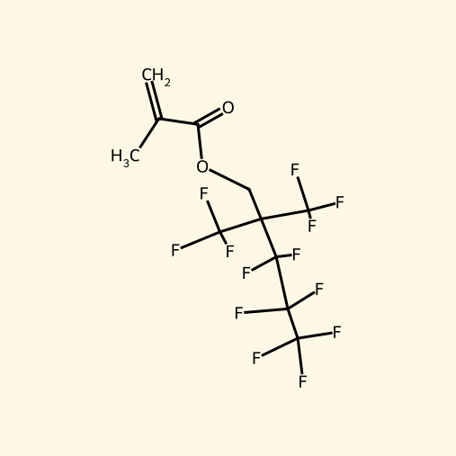 C=C(C)C(=O)OCC(C(F)(F)F)(C(F)(F)F)C(F)(F)C(F)(F)C(F)(F)F